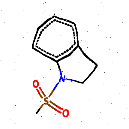 CS(=O)(=O)N1CCc2c[c]ccc21